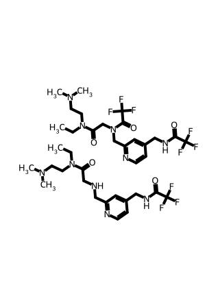 CCN(CCN(C)C)C(=O)CN(Cc1cc(CNC(=O)C(F)(F)F)ccn1)C(=O)C(F)(F)F.CCN(CCN(C)C)C(=O)CNCc1cc(CNC(=O)C(F)(F)F)ccn1